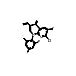 C=CC1=CN(c2c(F)cc(F)cc2F)c2nc(Cl)c(F)cc2C1=C